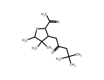 CC(=O)C1OC(C)C(C)(C)C1CC(=O)CC(C)(C)C